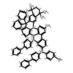 Cc1cc2c3c(c1)N1c4cc5c(cc4C(c4ccccc4)(c4ccccc4)c4cccc(c41)B3N(c1ccc(-c3ccccc3)cc1)c1cc(N(c3ccc(-c4ccccc4)cc3)c3ccc(C(C)(C)C)cc3)ccc1-2)C(C)(C)CCC5(C)C